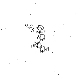 CC(=O)C1C2CCC(CC2)C1Nc1nc(-c2n[nH]c3ncc(Cl)cc23)ncc1F